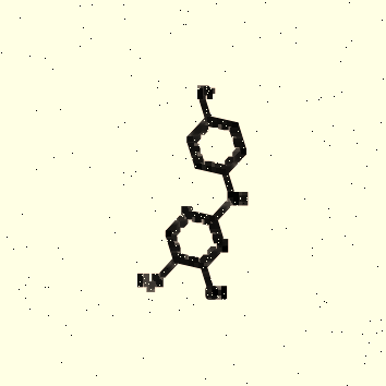 CC(C)c1ccc(Nc2ncc(N)c(O)n2)cc1